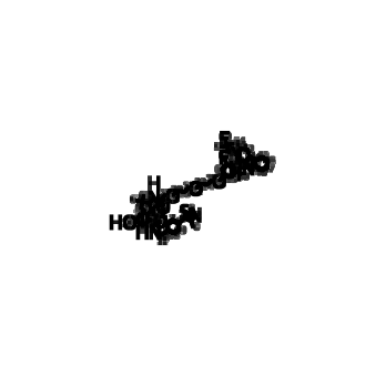 Cc1ncsc1-c1ccc([C@H](C)NC(=O)[C@@H]2C[C@@H](O)CN2C(=O)C(NC(=O)COCCCOCCCOc2cc(F)c([C@@H]3c4[nH]c5ccccc5c4C[C@@H](C)N3CC(C)(C)F)c(F)c2)C(C)(C)C)cc1